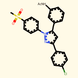 CC(=O)Nc1cccc(-c2cc(-c3ccc(Cl)cc3)nn2-c2ccc(S(C)(=O)=O)cc2)c1